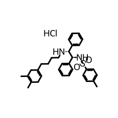 CC1=C(C)CC(CCCCN[C@H](c2ccccc2)[C@@H](NS(=O)(=O)c2ccc(C)cc2)c2ccccc2)=CC1.Cl